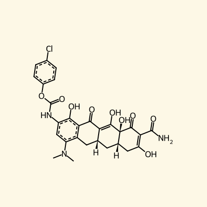 CN(C)c1cc(NC(=O)Oc2ccc(Cl)cc2)c(O)c2c1C[C@H]1C[C@H]3CC(O)=C(C(N)=O)C(=O)[C@@]3(O)C(O)=C1C2=O